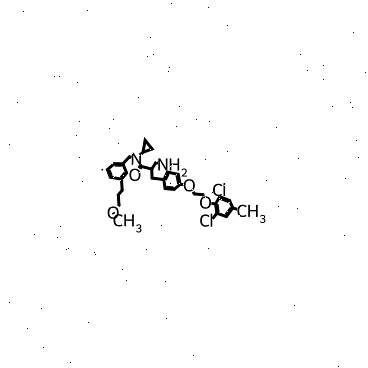 COCCCc1c[c]cc(CN(C(=O)C(CN)Cc2ccc(OCCOc3c(Cl)cc(C)cc3Cl)cc2)C2CC2)c1